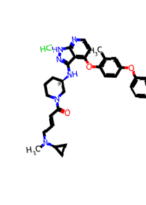 Cc1cc(Oc2ccccc2)ccc1Oc1ccnc2[nH]nc(N[C@@H]3CCCN(C(=O)C=CCN(C)C4CC4)C3)c12.Cl